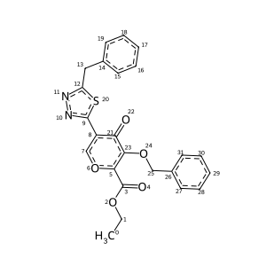 CCOC(=O)c1occ(-c2nnc(Cc3ccccc3)s2)c(=O)c1OCc1ccccc1